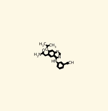 C#Cc1cccc(Nc2ncnc3cc(OC(C)C)c(CC(N)=O)cc23)c1